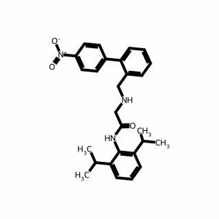 CC(C)c1cccc(C(C)C)c1NC(=O)CNCc1ccccc1-c1ccc([N+](=O)[O-])cc1